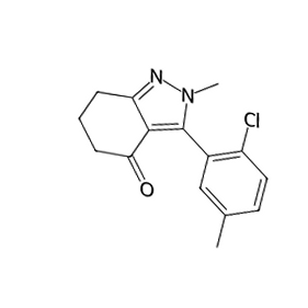 Cc1ccc(Cl)c(-c2c3c(nn2C)CCCC3=O)c1